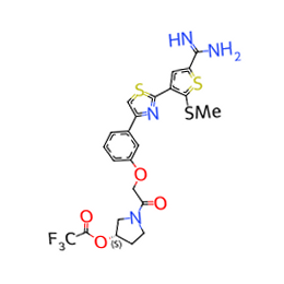 CSc1sc(C(=N)N)cc1-c1nc(-c2cccc(OCC(=O)N3CC[C@H](OC(=O)C(F)(F)F)C3)c2)cs1